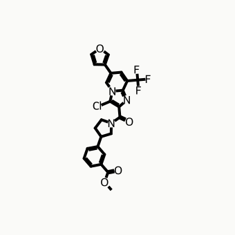 COC(=O)c1cccc(C2CCN(C(=O)c3nc4c(C(F)(F)F)cc(-c5ccoc5)cn4c3Cl)C2)c1